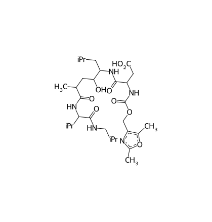 Cc1nc(COC(=O)NC(CC(=O)O)C(=O)NC(CC(C)C)C(O)CC(C)C(=O)NC(C(=O)NCC(C)C)C(C)C)c(C)o1